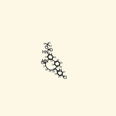 CC(C)(C)OC(=O)Nc1ccc2c(c1)NC(=O)CCC/C=C(/c1ccc(Cl)cn1)c1cccc-2c1